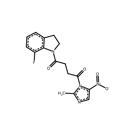 Cc1ncc([N+](=O)[O-])n1C(=O)CCC(=O)N1CCc2cccc(F)c21